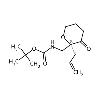 C=CC[C@]1(CNC(=O)OC(C)(C)C)OCCCC1=O